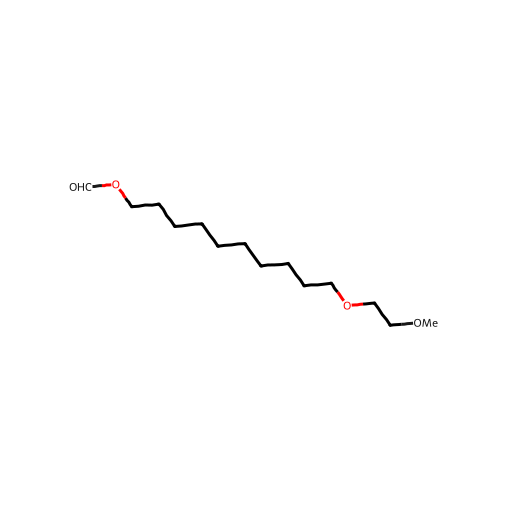 COCCOCCCCCCCCCCOC=O